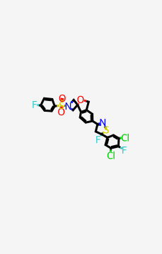 O=S(=O)(c1ccc(F)cc1)N1CC2(C1)OCc1cc(C3=NSC(F)(c4cc(Cl)c(F)c(Cl)c4)C3)ccc12